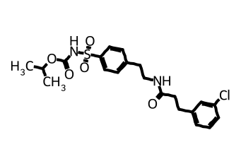 CC(C)OC(=O)NS(=O)(=O)c1ccc(CCNC(=O)CCc2cccc(Cl)c2)cc1